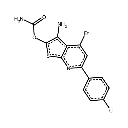 CCc1cc(-c2ccc(Cl)cc2)nc2sc(OC(N)=O)c(N)c12